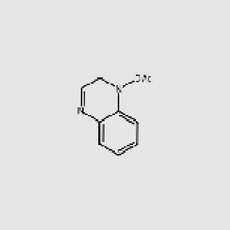 CC(=O)ON1CC=Nc2ccccc21